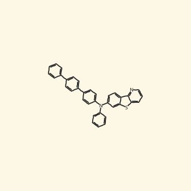 c1ccc(-c2ccc(-c3ccc(N(c4ccccc4)c4ccc5c(c4)sc4cccnc45)cc3)cc2)cc1